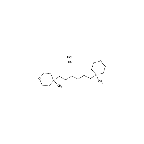 C[N+]1(CCCCCC[N+]2(C)CCOCC2)CCOCC1.[OH-].[OH-]